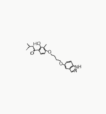 Cc1c(OCCCCOc2ccc3[nH]ncc3c2)ccc(C(=O)CC(C)C)c1O